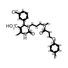 CC1=C(C(=O)O)C(c2cccc(Cl)c2)N(CCCN(C)C(=O)CCOc2ccc(F)cc2)C(=O)N1